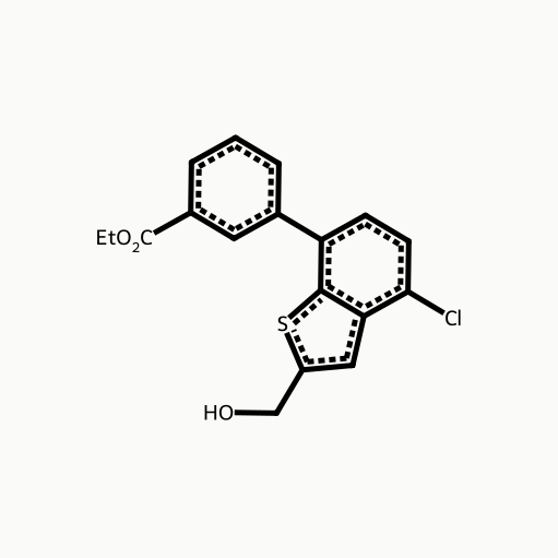 CCOC(=O)c1cccc(-c2ccc(Cl)c3cc(CO)sc23)c1